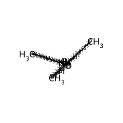 CCCCCCCCCCCCCCCCCCNC(=O)C(CCCCCCCCCCC)C(=O)NCCCCCCCCCCCCCCCCCC